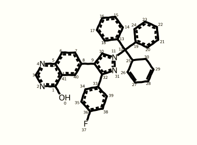 Oc1ncnc2ccc(-c3cn(C(c4ccccc4)(c4ccccc4)C4C=CC=CC4)nc3-c3ccc(F)cc3)cc12